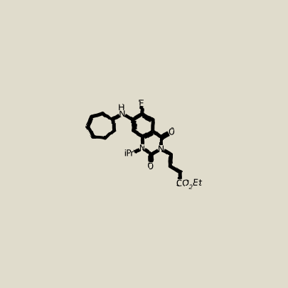 CCOC(=O)CCCn1c(=O)c2cc(F)c(NC3CCCCCC3)cc2n(C(C)C)c1=O